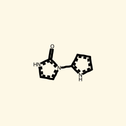 O=c1[nH]ccn1-c1ccc[nH]1